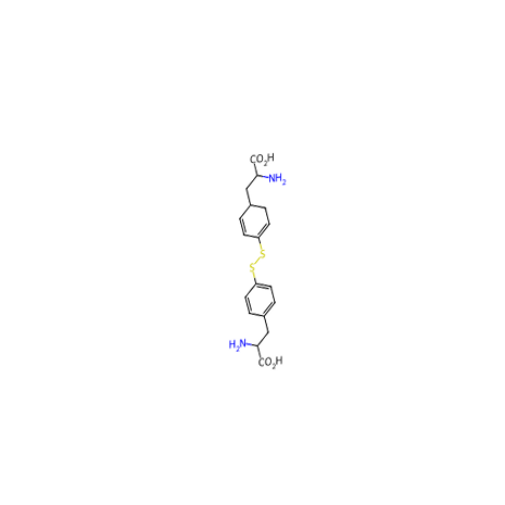 NC(Cc1ccc(SSC2=CCC(CC(N)C(=O)O)C=C2)cc1)C(=O)O